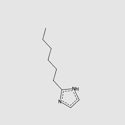 CCCCCCc1ncc[nH]1